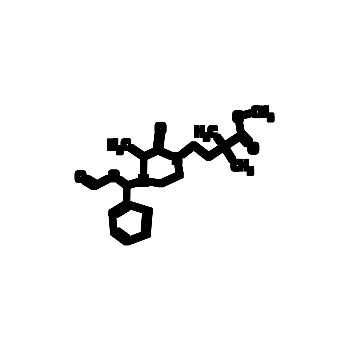 COC(=O)C(C)(C)CCN1CCN(C(OC=O)c2ccccc2)C(C)C1=O